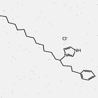 CCCCCCCCCCCCCC(CCCc1ccccc1)[n+]1cc[nH]c1.[Cl-]